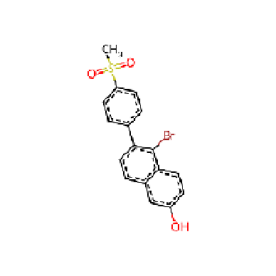 CS(=O)(=O)c1ccc(-c2ccc3cc(O)ccc3c2Br)cc1